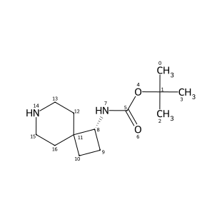 CC(C)(C)OC(=O)N[C@@H]1CCC12CCNCC2